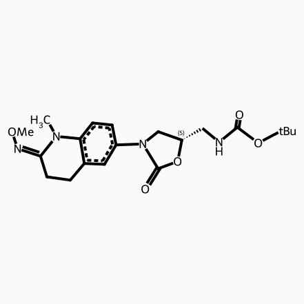 CON=C1CCc2cc(N3C[C@H](CNC(=O)OC(C)(C)C)OC3=O)ccc2N1C